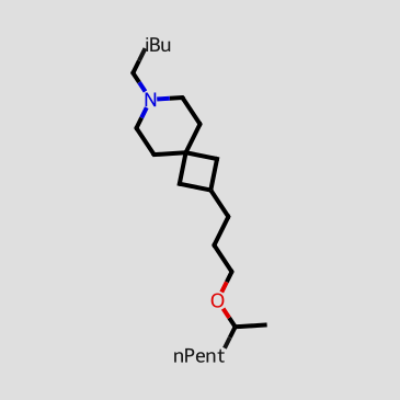 CCCCCC(C)OCCCC1CC2(CCN(CC(C)CC)CC2)C1